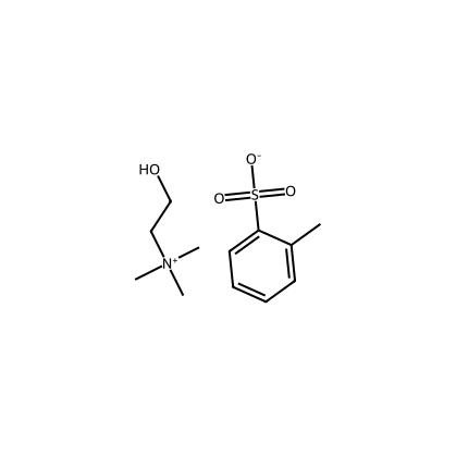 C[N+](C)(C)CCO.Cc1ccccc1S(=O)(=O)[O-]